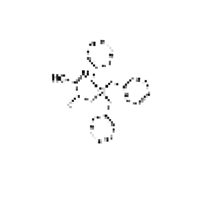 C=C(C[Si](Cc1ccccc1)(Cc1ccccc1)Cc1ccccc1)C(=O)O